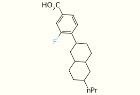 CCCC1CCC2CC(c3ccc(C(=O)O)cc3F)CCC2C1